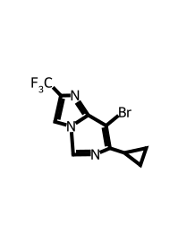 FC(F)(F)c1cn2cnc(C3CC3)c(Br)c2n1